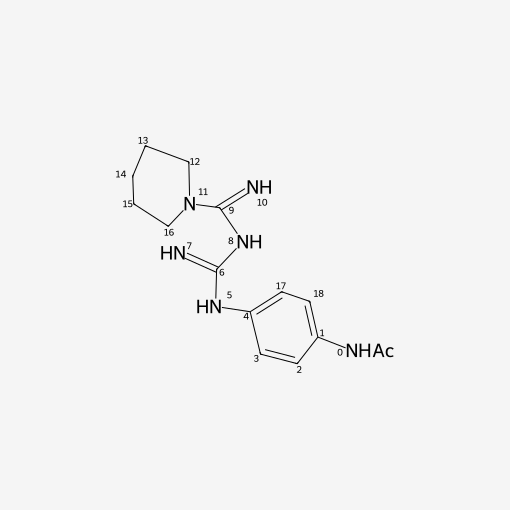 CC(=O)Nc1ccc(NC(=N)NC(=N)N2CCCCC2)cc1